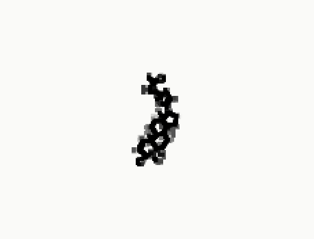 CC(=O)Nc1nc([C@H]2CC[C@H]3C4CC[C@H]5N(C)C(=O)C=C[C@]5(C)C4CC[C@]23C)cs1